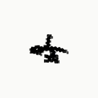 CCCCCCc1cc(-c2sc(-c3ccc4c(c3)CCc3ccccc3N4C)cc2CCCCCC)sc1/C=c1\s/c(=C(\C#N)C(=O)O)n(CC(=O)O)c1=O